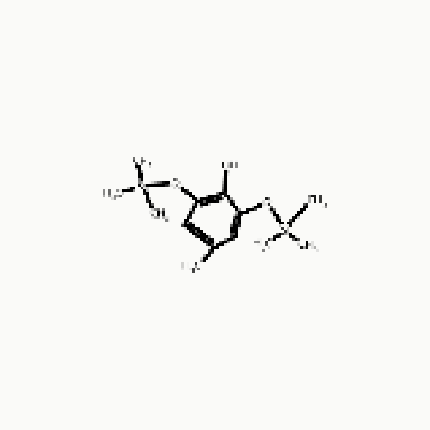 Cc1cc(O[Si](C)(C)C)c(O)c(O[Si](C)(C)C)c1